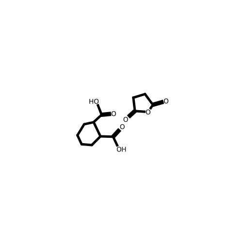 O=C(O)C1CCCCC1C(=O)O.O=C1CCC(=O)O1